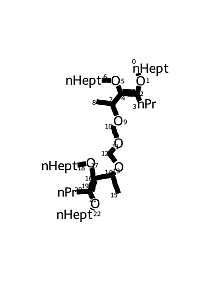 CCCCCCCOC(CCC)=C(OCCCCCCC)C(C)OCOCOC(C)C(OCCCCCCC)=C(CCC)OCCCCCCC